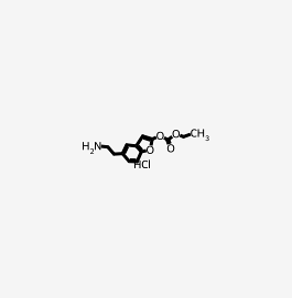 CCOC(=O)Oc1cc2cc(CCN)ccc2o1.Cl